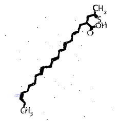 CC/C=C\CC=CCC=CCC=CCC=CCC=CCC(CC(C)=S)C(=O)O